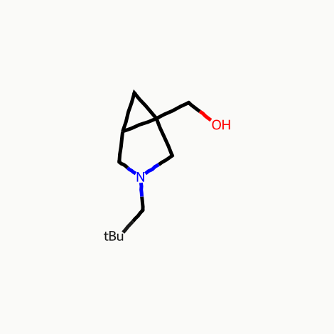 CC(C)(C)CN1CC2CC2(CO)C1